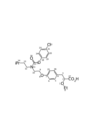 CCOC(Cc1ccc(OCCN(CCC(C)C)C(=O)Oc2ccc(Cl)cc2)cc1)C(=O)O